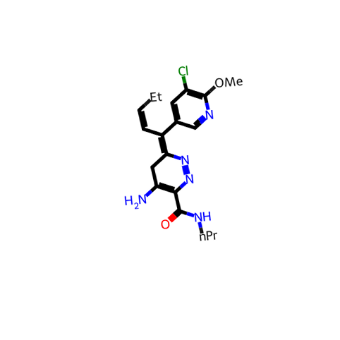 CC/C=C\C(=C1/CC(N)=C(C(=O)NCCC)N=N1)c1cnc(OC)c(Cl)c1